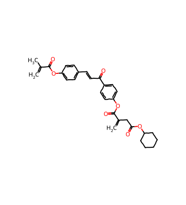 C=C(C)C(=O)Oc1ccc(/C=C/C(=O)c2ccc(OC(=O)C(=C)CC(=O)OC3CCCCC3)cc2)cc1